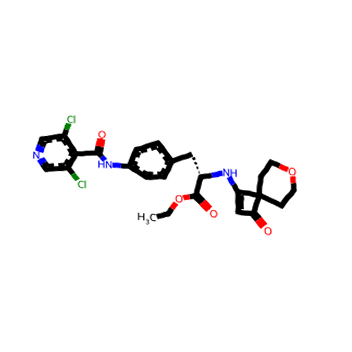 CCOC(=O)[C@H](Cc1ccc(NC(=O)c2c(Cl)cncc2Cl)cc1)NC1=CC(=O)C12CCOCC2